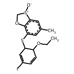 CCOC1C=CC(I)=CC1Sc1cc(C)cc2c1OC[S+]2[O-]